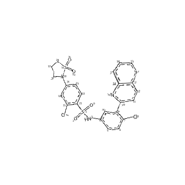 O=S(=O)(Nc1ccc(Cl)c(-c2ccc3ccccc3n2)c1)c1ccc(N2CCCS2(=O)=O)cc1Cl